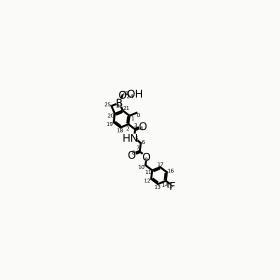 Cc1c(C(=O)NCC(=O)OCc2ccc(F)cc2)ccc2c1B(OO)C2